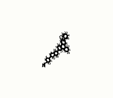 N#Cc1ccc(-c2ccc3cc(-c4ccc5c(c4)c4ccccc4c4cc6c(cc54)oc4ccccc46)ccc3c2)cc1